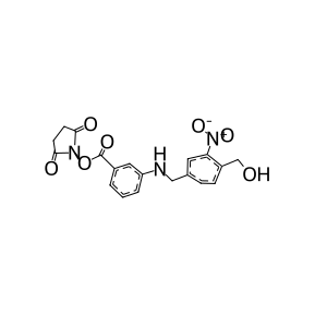 O=C(ON1C(=O)CCC1=O)c1cccc(NCc2ccc(CO)c([N+](=O)[O-])c2)c1